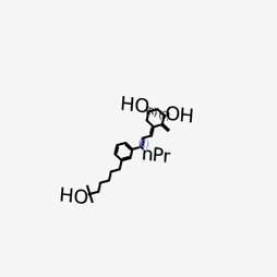 C=C1C(=C/C=C(\CCC)c2cccc(CCCCCC(C)(C)O)c2)C[C@@H](O)C[C@@H]1O